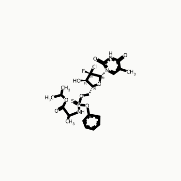 Cc1cn([C@@H]2O[C@H](COP(=S)(NC(C)C(=O)OC(C)C)Oc3ccccc3)[C@@H](O)[C@]2(F)Cl)c(=O)[nH]c1=O